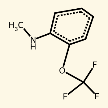 CNc1ccccc1OC(F)(F)F